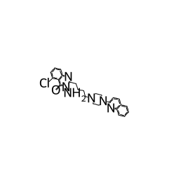 Nn1c(CCCCN2CCN(c3ccc4ccccc4n3)CC2)nc2cccc(Cl)c2c1=O